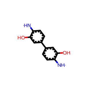 [NH]c1ccc(-c2ccc([NH])c(O)c2)cc1O